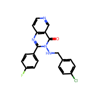 O=c1c2cnccc2nc(-c2ccc(F)cc2)n1NCc1ccc(Cl)cc1